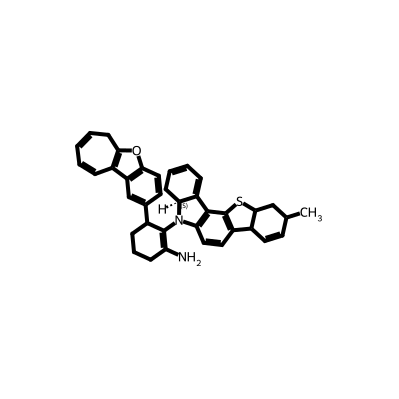 CC1C=CC2c3ccc4c(c3SC2C1)C1=CC=CC[C@@H]1N4C1=C(N)CCCC1c1ccc2oc3c(c2c1)C=CC=CC3